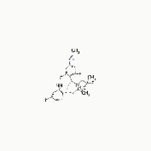 C/C=C/c1cc(F)c(C2c3[nH]c4cc(F)ccc4c3CC(C)N2CC(C)(C)F)c(F)c1